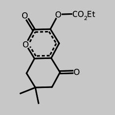 CCOC(=O)Oc1cc2c(oc1=O)CC(C)(C)CC2=O